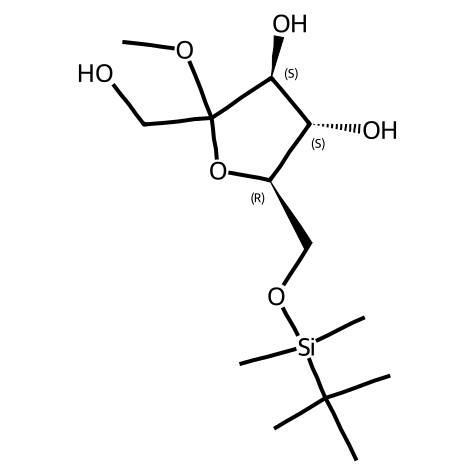 COC1(CO)O[C@H](CO[Si](C)(C)C(C)(C)C)[C@@H](O)[C@@H]1O